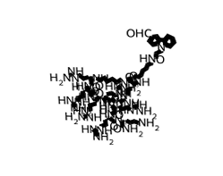 N=C(N)NCCC[C@@H](NC(=O)CCCCCNC(=O)CCn1c2ccccc2c2cc(C=O)ccc21)C(=O)NCCCCCC(=O)N[C@H](CCCNC(=N)N)C(=O)N[C@H](CCCNC(=N)N)C(=O)N[C@H](CCCNC(=N)N)C(=O)N[C@H](CCCNC(=N)N)C(=O)N[C@H](CCCNC(=N)N)C(=O)N[C@H](CCCNC(=N)N)C(=O)N[C@H](CCCCN)C(N)=O